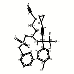 N#CCNC(=O)[C@H](CS(=O)(=O)Cc1ccccc1)N[C@@](C#CC1CC1)(c1ccc(F)cc1)C(F)(F)F